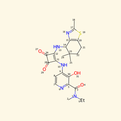 CCN(C)C(=O)c1nccc(Nc2c(NC3c4nc(C)sc4CCC3(C)C)c(=O)c2=O)c1O